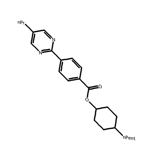 CCCCCC1CCC(OC(=O)c2ccc(-c3ncc(CCC)cn3)cc2)CC1